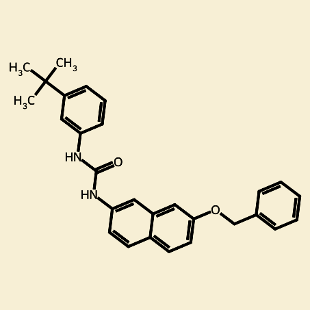 CC(C)(C)c1cccc(NC(=O)Nc2ccc3ccc(OCc4ccccc4)cc3c2)c1